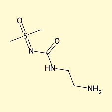 CS(C)(=O)=NC(=O)NCCN